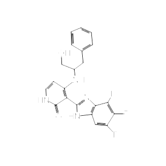 O=c1[nH]ccc(NC(CO)Cc2ccccc2)c1-c1nc2c(F)c(F)c(F)cc2[nH]1